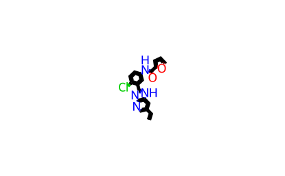 C=Cc1cnc2nc(-c3cc(NC(=O)c4ccco4)ccc3Cl)[nH]c2c1